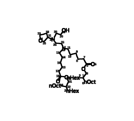 CCCCCCCCC(CCCCCC)COC(=O)CCCCCN(CCCCCC(=O)OCC(CCCCCC)CCCCCCCC)CCN(CCO)C1CCOC1